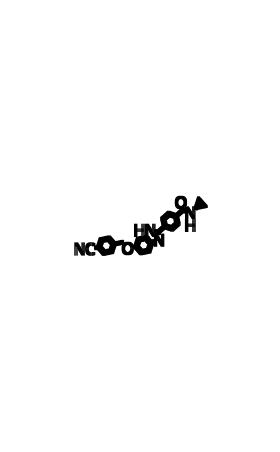 N#Cc1ccc(COc2ccc3nc(-c4ccc(C(=O)NC5CC5)cc4)[nH]c3c2)cc1